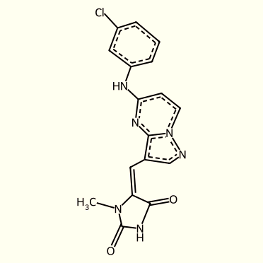 CN1C(=O)NC(=O)C1=Cc1cnn2ccc(Nc3cccc(Cl)c3)nc12